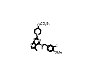 CCOC(=O)OC1CCN(c2nc(NCc3ccc(OC)c(Cl)c3)c3c(C)csc3n2)CC1